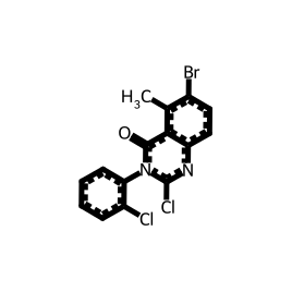 Cc1c(Br)ccc2nc(Cl)n(-c3ccccc3Cl)c(=O)c12